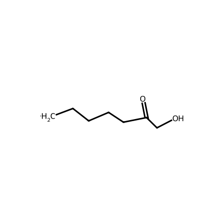 [CH2]CCCCC(=O)CO